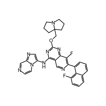 Fc1c(-c2cccc3cccc(F)c23)ncc2c(Nc3cnc4cnccn34)nc(OCC34CCCN3CCC4)nc12